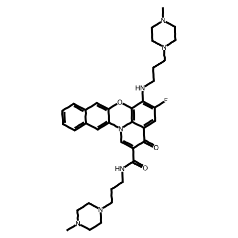 CN1CCN(CCCNC(=O)c2cn3c4c(c(NCCCN5CCN(C)CC5)c(F)cc4c2=O)Oc2cc4ccccc4cc2-3)CC1